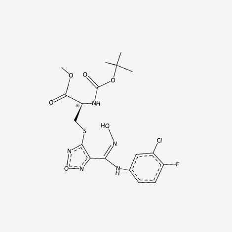 COC(=O)[C@H](CSc1nonc1C(=NO)Nc1ccc(F)c(Cl)c1)NC(=O)OC(C)(C)C